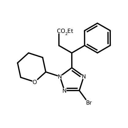 CCOC(=O)CC(c1ccccc1)c1nc(Br)nn1C1CCCCO1